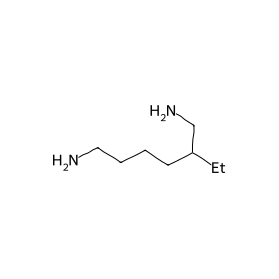 CCC(CN)CCCCN